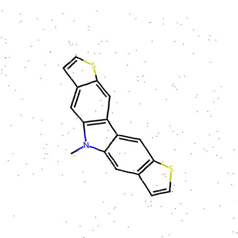 Cn1c2cc3c[c]sc3cc2c2cc3s[c]cc3cc21